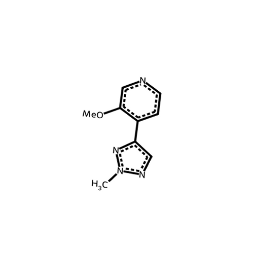 COc1cnccc1-c1cnn(C)n1